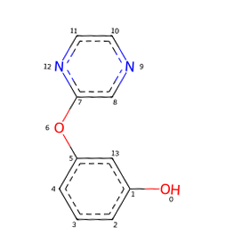 Oc1cccc(Oc2cnccn2)c1